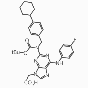 CC(C)(C)OC(=O)N(Cc1ccc(C2CCCCC2)cc1)c1nc(Nc2ccc(F)cc2)c2ncn(CC(=O)O)c2n1